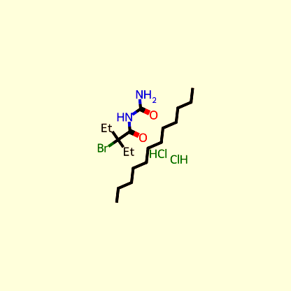 CCC(Br)(CC)C(=O)NC(N)=O.CCCCCCCCCCCC.Cl.Cl